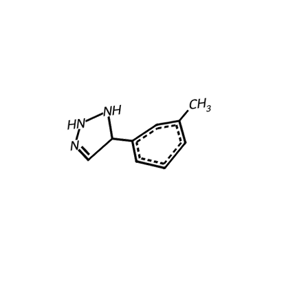 Cc1cccc(C2C=NNN2)c1